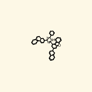 c1ccc(C2N=C(c3ccc4c(ccc5ccccc54)c3)N=C(c3cc(-c4ccc5ccccc5c4)cc4oc5ccccc5c34)N2)cc1